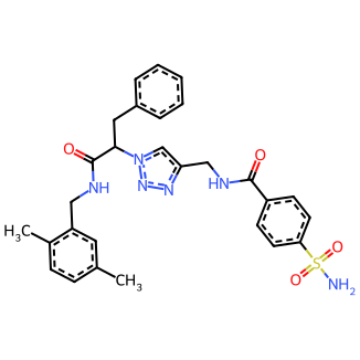 Cc1ccc(C)c(CNC(=O)C(Cc2ccccc2)n2cc(CNC(=O)c3ccc(S(N)(=O)=O)cc3)nn2)c1